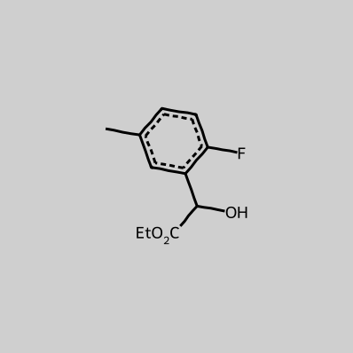 CCOC(=O)C(O)c1cc(C)ccc1F